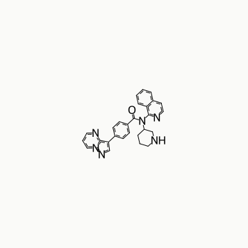 O=C(c1ccc(-c2cnn3cccnc23)cc1)N(c1nccc2ccccc12)C1CCCNC1